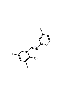 Oc1c(I)cc(I)cc1/C=N/c1cccc(Cl)c1